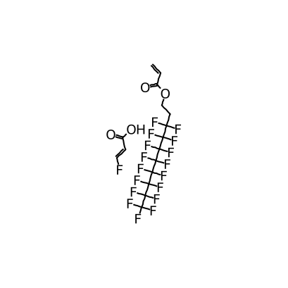 C=CC(=O)OCCC(F)(F)C(F)(F)C(F)(F)C(F)(F)C(F)(F)C(F)(F)C(F)(F)C(F)(F)F.O=C(O)C=CF